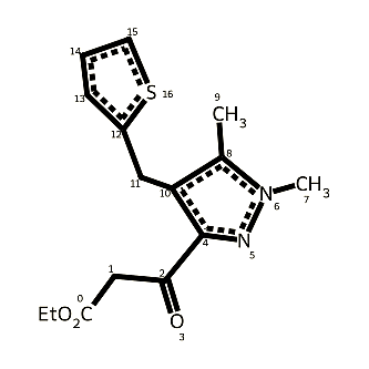 CCOC(=O)CC(=O)c1nn(C)c(C)c1Cc1cccs1